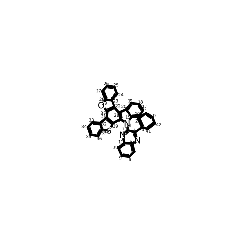 c1ccc(-c2nc3ccccc3nc2-n2c3ccccc3c3c4c5ccccc5oc4c4c5ccccc5sc4c32)cc1